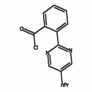 CCCc1cnc(-c2ccccc2C(=O)Cl)nc1